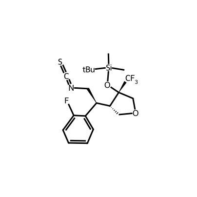 CC(C)(C)[Si](C)(C)O[C@]1(C(F)(F)F)COC[C@@H]1[C@H](CN=C=S)c1ccccc1F